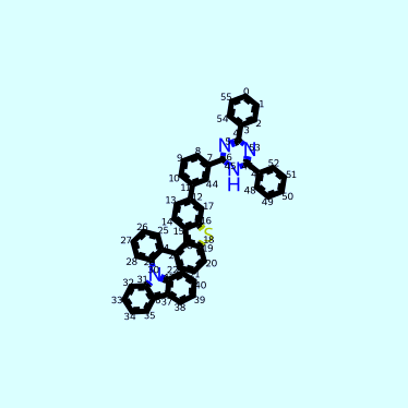 c1ccc(C2=NC(c3cccc(-c4ccc5c(c4)sc4cccc(-c6ccccc6-n6c7ccccc7c7ccccc76)c45)c3)NC(c3ccccc3)=N2)cc1